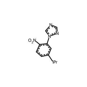 CC(C)c1ccc([N+](=O)[O-])c(-n2cncn2)c1